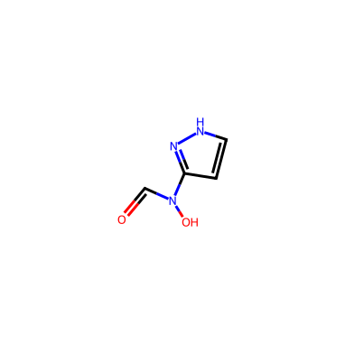 O=CN(O)c1cc[nH]n1